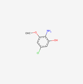 Nc1c(O)cc(Cl)cc1OC=O